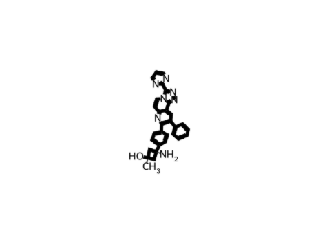 C[C@]1(O)C[C@@](N)(c2ccc(-c3nc4ccn5c(-c6ncccn6)nnc5c4cc3-c3ccccc3)cc2)C1